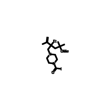 C=C(C)C(CC)(CN1CCN(C(=O)I)CC1)CC(C)(C)OC